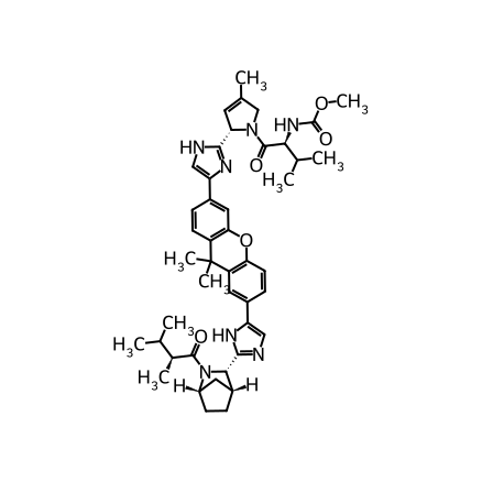 COC(=O)N[C@H](C(=O)N1CC(C)=C[C@H]1c1nc(-c2ccc3c(c2)Oc2ccc(-c4cnc([C@@H]5[C@@H]6CC[C@@H](C6)N5C(=O)[C@@H](C)C(C)C)[nH]4)cc2C3(C)C)c[nH]1)C(C)C